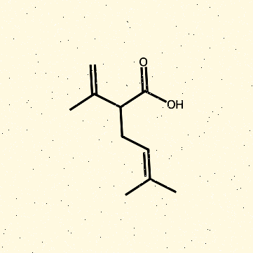 C=C(C)C(CC=C(C)C)C(=O)O